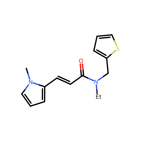 CCN(Cc1cccs1)C(=O)C=Cc1cccn1C